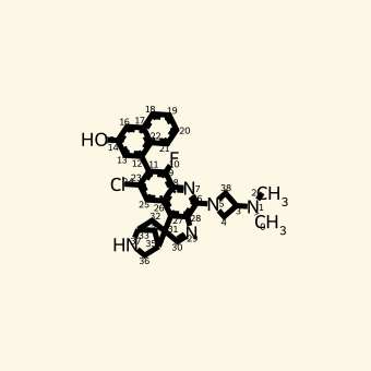 CN(C)C1CN(c2nc3c(F)c(-c4cc(O)cc5ccccc45)c(Cl)cc3c3c2N=CC32CC3CC2CN3)C1